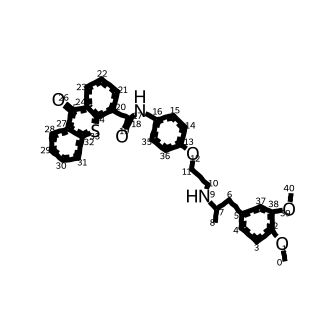 COc1ccc(CC(C)NCCOc2ccc(NC(=O)c3cccc4c(=O)c5ccccc5sc34)cc2)cc1OC